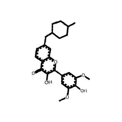 COc1cc(-c2oc3cc(CC4CCC(C)CC4)ccc3c(=O)c2O)cc(OC)c1O